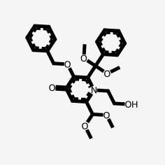 COC(OC)c1cc(=O)c(OCc2ccccc2)c(C(OC)(OC)c2ccccc2)n1CCO